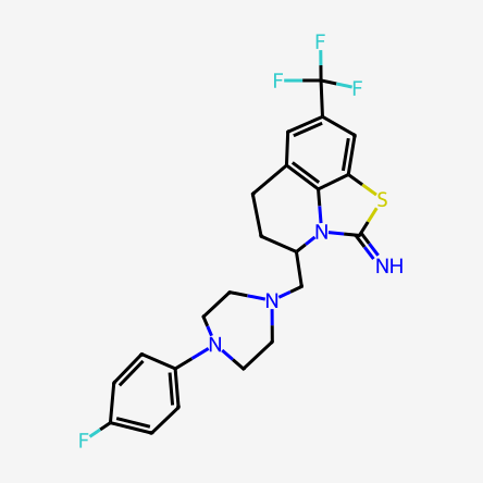 N=c1sc2cc(C(F)(F)F)cc3c2n1C(CN1CCN(c2ccc(F)cc2)CC1)CC3